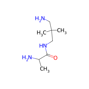 CC(N)C(=O)NCC(C)(C)CN